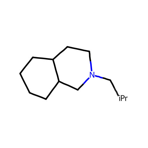 CC(C)CN1CCC2CCCCC2C1